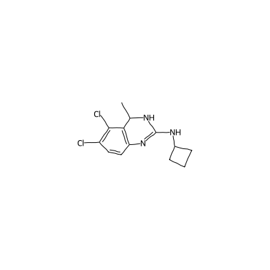 CC1NC(NC2CCC2)=Nc2ccc(Cl)c(Cl)c21